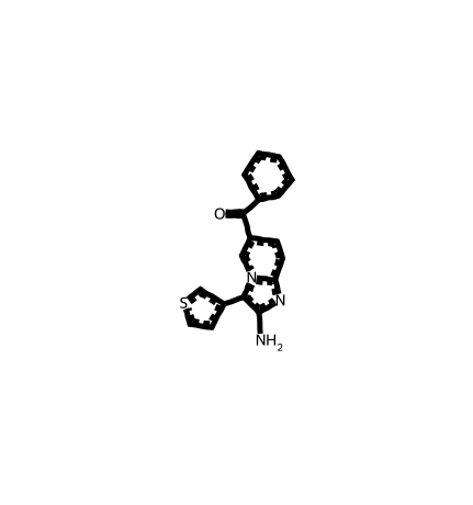 Nc1nc2ccc(C(=O)c3ccccc3)cn2c1-c1ccsc1